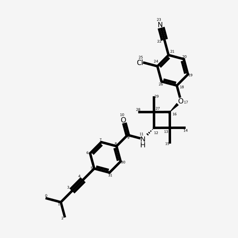 CC(C)C#Cc1ccc(C(=O)N[C@H]2C(C)(C)[C@H](Oc3ccc(C#N)c(Cl)c3)C2(C)C)cc1